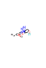 COc1ccc(NC(=O)Nc2ccc(OC(F)F)cc2)cc1OC1CCCC1